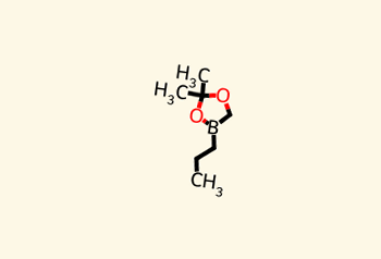 CCCB1COC(C)(C)O1